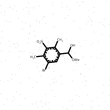 COC(O)c1cc(Br)c(C)c([N+](=O)[O-])c1C